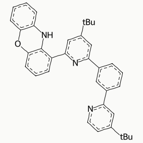 CC(C)(C)c1ccnc(-c2cccc(-c3cc(C(C)(C)C)cc(-c4cccc5c4Nc4ccccc4O5)n3)c2)c1